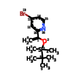 C=C(O[Si](C)(C)C(C)(C)C)c1cc(Br)ccn1